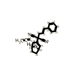 C=C=C[C@@H]1C(C(C#N)(C#N)C/C=C/c2ccccc2)=CC2CC[C@@H]1N2